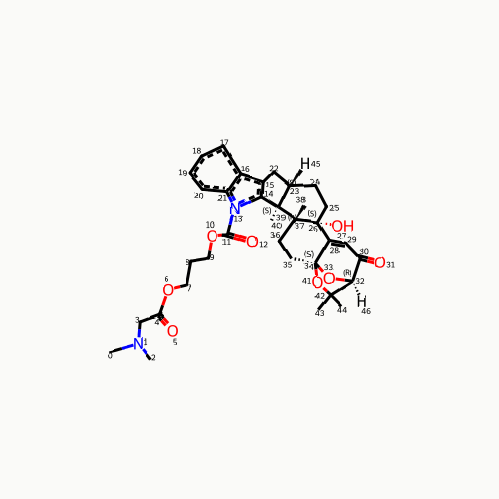 CN(C)CC(=O)OCCCOC(=O)n1c2c(c3ccccc31)C[C@@H]1CC[C@@]3(O)C4=CC(=O)[C@@H]5O[C@@]4(CC[C@]3(C)[C@@]21C)OC5(C)C